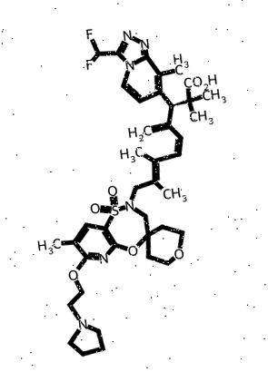 C=C(/C=C\C(C)=C(/C)CN1CC2(CCOCC2)Oc2nc(OCCN3CCCC3)c(C)cc2S1(=O)=O)[C@@H](c1ccn2c(C(F)F)nnc2c1C)C(C)(C)C(=O)O